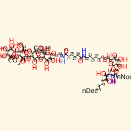 CCCCCCCCCCCCCC[C@@H](O)[C@@H](O)[C@H](COC1OC(COCCCCCCNC(=O)CCCCC(=O)NCCOC2OC(CO)C(OC3OC(C(=O)O)C(O)C(OC4OC(CO)C(OC5OC(C(=O)O)C(O)C(O)C5O)C(O)C4O)C3O)C(O)C2O)C(O)C(O)C1O)NC(=O)CCCCCCCCC